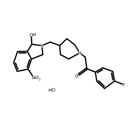 Cl.O=C(CN1CCC(CN2Cc3c(cccc3[N+](=O)[O-])C2O)CC1)c1ccc(F)cc1